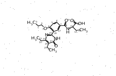 CCCOc1ccc(C(=O)NC(CC)C(=O)O)cc1-c1nc(CC)c(CC)c(=O)[nH]1